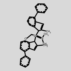 CC1=Cc2c(-c3ccccc3)cccc2[CH]1[Zr]([CH2]Cl)([CH]1C(C)=Cc2c(-c3ccccc3)cccc21)=[Si](C)C